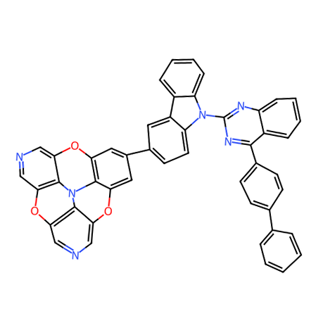 c1ccc(-c2ccc(-c3nc(-n4c5ccccc5c5cc(-c6cc7c8c(c6)Oc6cncc9c6N8c6c(cncc6O7)O9)ccc54)nc4ccccc34)cc2)cc1